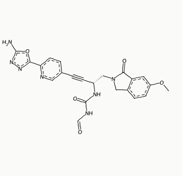 COc1ccc2c(c1)C(=O)N(C[C@@H](C#Cc1ccc(-c3nnc(N)o3)nc1)NC(=O)NC=O)C2